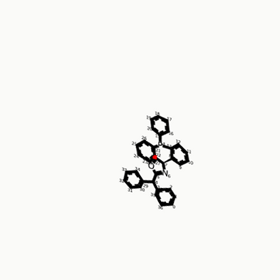 c1ccc(C(C2=N[C@H](c3ccccc3P(c3ccccc3)c3ccccc3)CO2)c2ccccc2)cc1